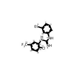 CCc1cccc(NC(=N)Nc2cc(C(F)(F)F)ccc2Cl)c1